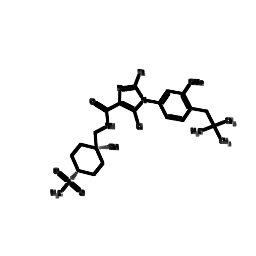 CCc1nc(C(=O)NC[C@]2(O)CC[C@@H](S(C)(=O)=O)CC2)c(Cl)n1-c1ccc(CC(C)(C)C(F)(F)F)c(OC)c1